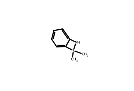 CS1(C)Nc2ccccc21